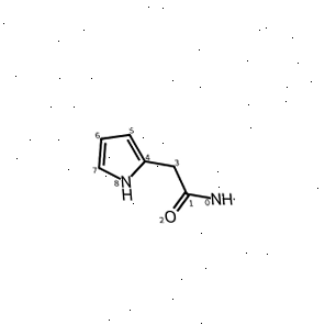 [NH]C(=O)Cc1ccc[nH]1